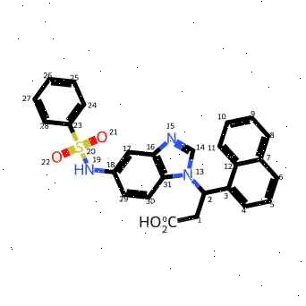 O=C(O)CC(c1cccc2ccccc12)n1cnc2cc(NS(=O)(=O)c3ccccc3)ccc21